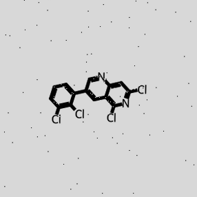 Clc1cc2ncc(-c3cccc(Cl)c3Cl)cc2c(Cl)n1